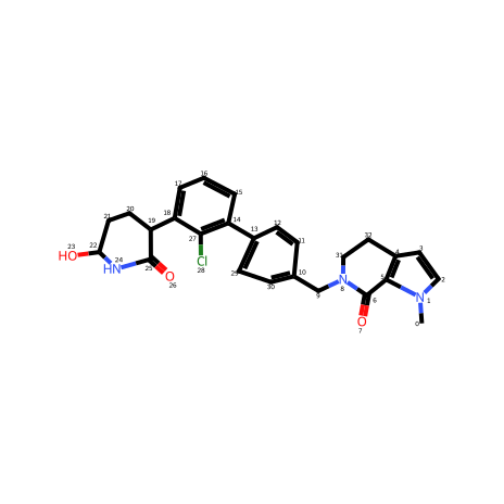 Cn1ccc2c1C(=O)N(Cc1ccc(-c3cccc(C4CCC(O)NC4=O)c3Cl)cc1)CC2